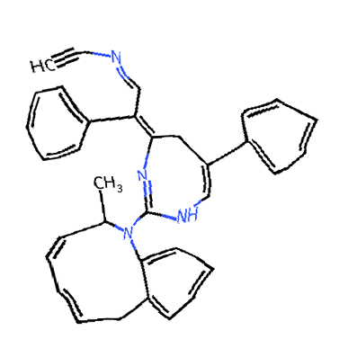 C#C/N=C\C(=C1/CC(c2ccccc2)=CNC(N2c3ccccc3C/C=C\C=C/C2C)=N1)c1ccccc1